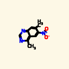 Cc1cc2ncnc(C)c2cc1[N+](=O)[O-]